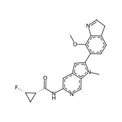 COc1c(-c2cc3cc(NC(=O)[C@@H]4C[C@@H]4F)ncc3n2C)ccc2c1N=CC2